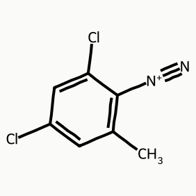 Cc1cc(Cl)cc(Cl)c1[N+]#N